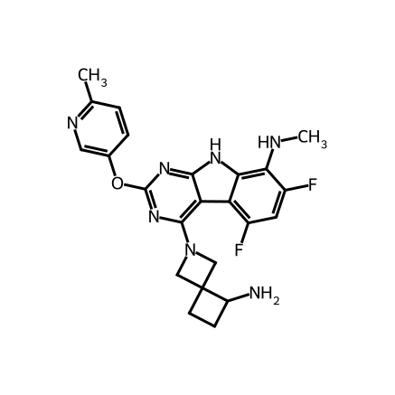 CNc1c(F)cc(F)c2c1[nH]c1nc(Oc3ccc(C)nc3)nc(N3CC4(CCC4N)C3)c12